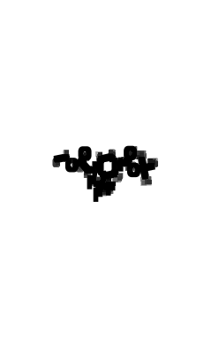 CCOC(=O)CN1CCN(C(=O)OC(C)(C)C)C[C@H]1C(F)(F)F